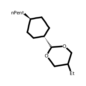 CCCCC[C@H]1CC[C@H](C2OCC(CC)CO2)CC1